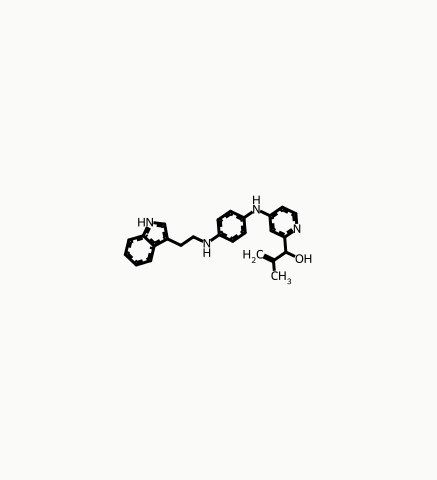 C=C(C)C(O)c1cc(Nc2ccc(NCCc3c[nH]c4ccccc34)cc2)ccn1